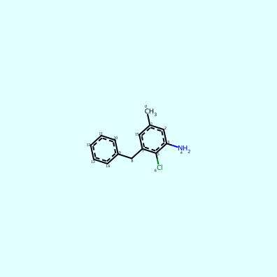 Cc1cc(N)c(Cl)c(Cc2ccccc2)c1